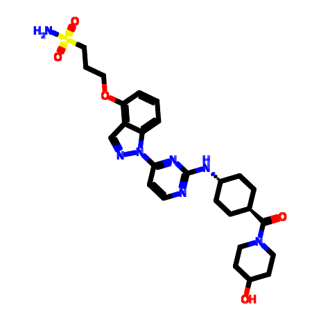 NS(=O)(=O)CCCOc1cccc2c1cnn2-c1ccnc(N[C@H]2CC[C@H](C(=O)N3CCC(O)CC3)CC2)n1